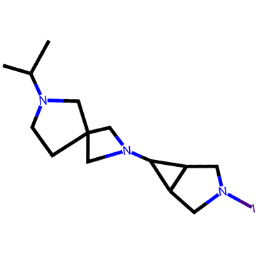 CC(C)N1CCC2(C1)CN(C1C3CN(I)CC31)C2